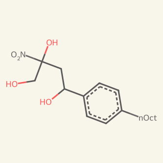 CCCCCCCCc1ccc(C(O)CC(O)(CO)[N+](=O)[O-])cc1